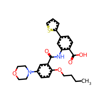 CCCCOc1ccc(N2CCOCC2)cc1C(=O)Nc1cc(-c2cccs2)ccc1C(=O)O